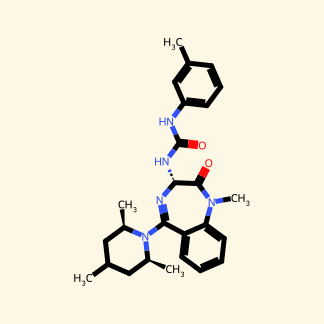 Cc1cccc(NC(=O)N[C@H]2N=C(N3[C@H](C)CC(C)C[C@@H]3C)c3ccccc3N(C)C2=O)c1